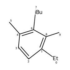 CCc1c[c]c(C)c(C(C)CC)c1C